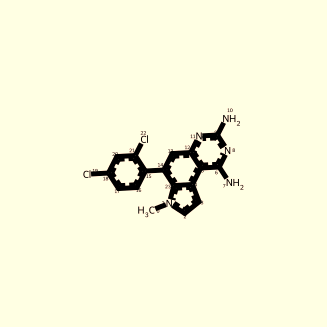 Cn1ccc2c3c(N)nc(N)nc3cc(-c3ccc(Cl)cc3Cl)c21